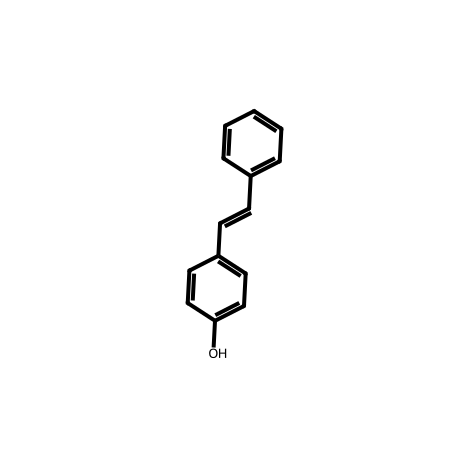 Oc1ccc(C=Cc2ccccc2)cc1